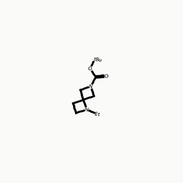 CCN1CCC12CN(C(=O)OC(C)(C)C)C2